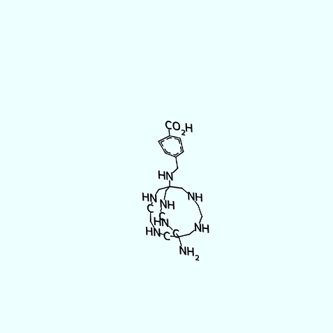 NC12CNCCNCC(NCc3ccc(C(=O)O)cc3)(CNCCNC1)CNCCNC2